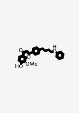 COc1c(O)ccc2c(=O)cc(-c3ccc(CCCCPc4ccccc4)cc3)oc12